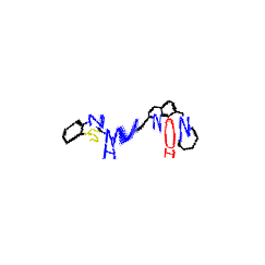 Oc1c(CN2CCCCC2)ccc2ccc(/C=N/Nc3nc4ccccc4s3)nc12